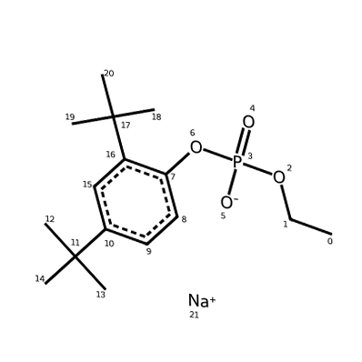 CCOP(=O)([O-])Oc1ccc(C(C)(C)C)cc1C(C)(C)C.[Na+]